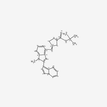 Cn1c(-c2cnn3cccnc23)nc2c(O[C@H]3CCN(C(=O)OC(C)(C)C)C3)ncnc21